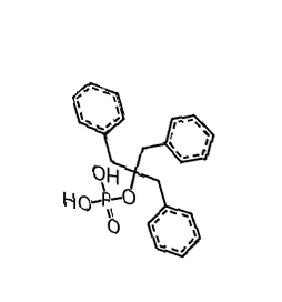 O=P(O)(O)OC(Cc1ccccc1)(Cc1ccccc1)Cc1ccccc1